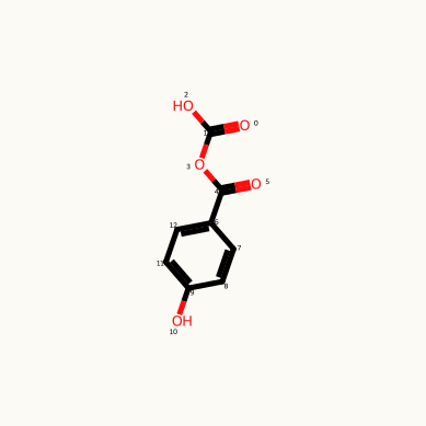 O=C(O)OC(=O)c1ccc(O)cc1